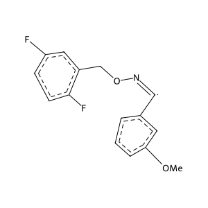 COc1cccc(/[C]=N\OCc2cc(F)ccc2F)c1